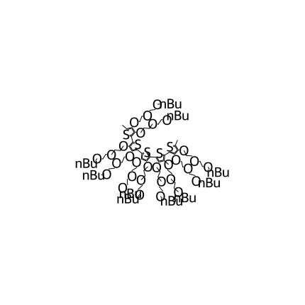 CCCCOCCOCCOc1c(C)sc(-c2sc(-c3sc(-c4sc(-c5sc(C)c(OCCOCCOCCCC)c5OCCOCCOCCCC)c(OCCOCCOCCCC)c4OCCOCCOCCCC)c(OCCOCCOCCCC)c3OCCOCCOCCCC)c(OCCOCCOCCCC)c2OCCOCCOCCCC)c1OCCOCCOCCCC